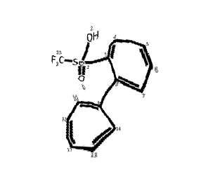 O=[Se](O)(c1ccccc1-c1ccccc1)C(F)(F)F